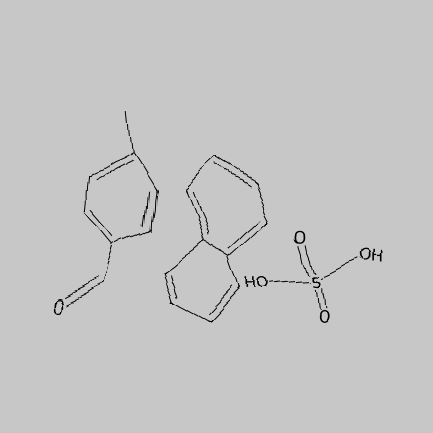 Cc1ccc(C=O)cc1.O=S(=O)(O)O.c1ccc2ccccc2c1